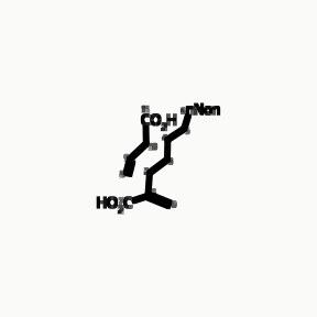 C=C(CCCCCCCCCCCCC)C(=O)O.C=CCC(=O)O